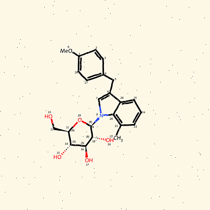 COc1ccc(Cc2cn([C@@H]3O[C@H](CO)[C@@H](O)[C@H](O)[C@H]3O)c3c(C)cccc23)cc1